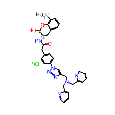 Cl.O=C(Cc1ccc(-n2cc(CN(Cc3ccccn3)Cc3ccccn3)nn2)cc1)N[C@H]1Cc2cccc(C(=O)O)c2OB1O